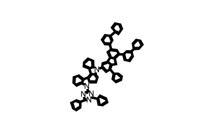 c1ccc(-c2cccc(-c3cc(-c4cccc(-c5ccccc5)c4)c4c(c3)-c3cc(-n5c6ccccc6c6c7c8ccccc8n(-c8nc(-c9ccccc9)nc(-c9ccccc9)n8)c7ccc65)cc(-c5ccccc5)c3C4)c2)cc1